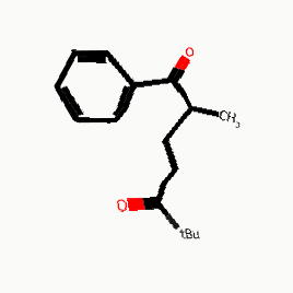 CC(CCC(=O)C(C)(C)C)C(=O)c1ccccc1